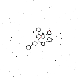 CCc1ccccc1-c1ccc(N(c2ccc(-c3ccccc3)cc2)c2cccc(-c3cccc(-c4ccccc4)c3-c3ccccc3-c3ccccc3)c2)cc1CC